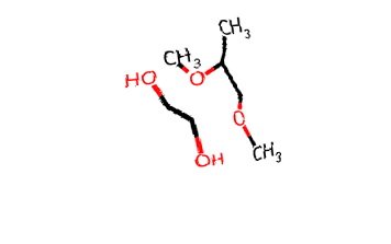 COCC(C)OC.OCCO